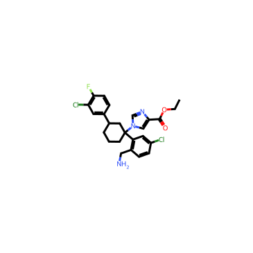 CCOC(=O)c1cn(C2(c3cc(Cl)ccc3CN)CCCC(c3ccc(F)c(Cl)c3)C2)cn1